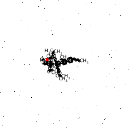 C=C(C)C(=O)OCCCc1cc(-c2ccc(C3CCC(CCCCC)CC3)cc2CC)cc(CCCOC(=O)C(C)C)c1OCC(COC(=O)C(=C)C)(COC(=O)C(=C)C)CC1COC(=O)OC1